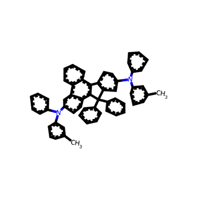 Cc1cccc(N(c2ccccc2)c2ccc3c(c2)C(c2ccccc2)(c2ccccc2)c2c-3c3ccccc3c3cc(N(c4ccccc4)c4cccc(C)c4)ccc23)c1